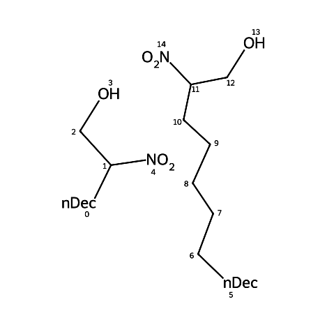 CCCCCCCCCCC(CO)[N+](=O)[O-].CCCCCCCCCCCCCCCC(CO)[N+](=O)[O-]